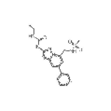 CCNC(=O)Nc1nc2cc(-c3cccnc3)cc(CNS(C)(=O)=O)n2n1